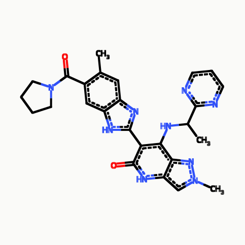 Cc1cc2nc(-c3c(NC(C)c4ncccn4)c4nn(C)cc4[nH]c3=O)[nH]c2cc1C(=O)N1CCCC1